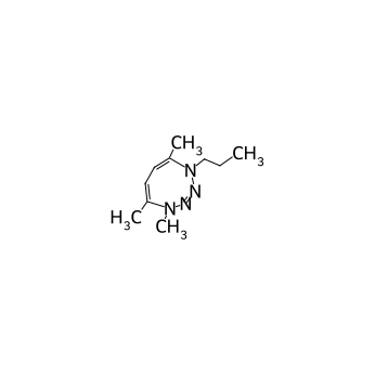 CCCn1nnn(C)c(C)ccc1C